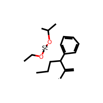 CC[O][Sc][O]C(C)C.[CH2]C(=C)C(CCC)c1ccccc1